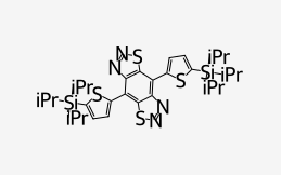 CC(C)[Si](c1ccc(-c2c3nnsc3c(-c3ccc([Si](C(C)C)(C(C)C)C(C)C)s3)c3nnsc23)s1)(C(C)C)C(C)C